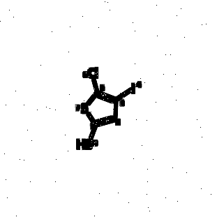 Sc1cc(I)c(Cl)s1